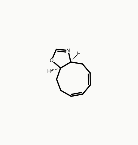 C1=N[C@H]2C/C=C\C=C/CC[C@H]2O1